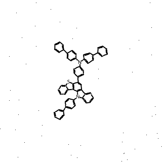 c1ccc(-c2ccc(N(c3ccc(-c4ccccc4)cc3)c3ccc(-c4cc5c6ccccc6n(-c6ccc(-c7ccccc7)cc6)c5c5c4sc4ccccc45)cc3)cc2)cc1